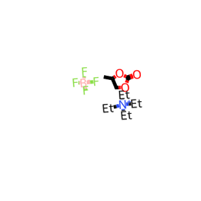 CC1COC(=O)O1.CC[N+](CC)(CC)CC.F[B-](F)(F)F